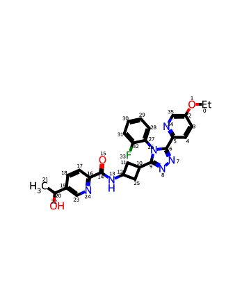 CCOc1ccc(-c2nnc(C3CC(NC(=O)c4ccc(C(C)O)cn4)C3)n2-c2ccccc2F)nc1